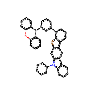 c1ccc(-n2c3ccccc3c3cc4c(cc32)sc2c(-c3cccc(B5c6ccccc6Oc6ccccc65)c3)cccc24)cc1